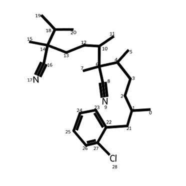 CC(CCC(C)C(C)(C#N)C(C)CCC(C)(C#N)C(C)C)Cc1ccccc1Cl